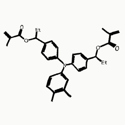 C=C(C)C(=O)OC(CC)c1ccc(N(c2ccc(C(CC)OC(=O)C(=C)C)cc2)c2ccc(C)c(C)c2)cc1